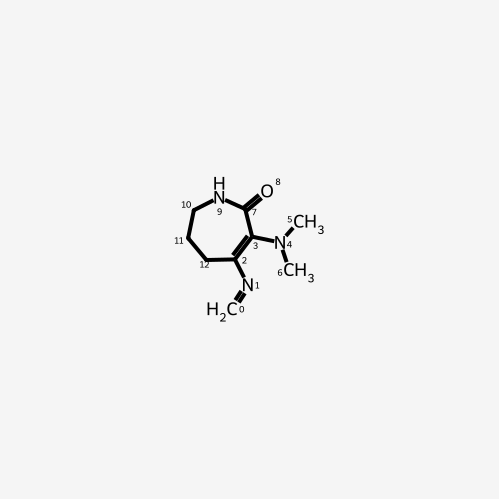 C=NC1=C(N(C)C)C(=O)NCCC1